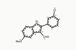 COc1ccc2[nH]c(-c3cccc(Cl)c3)c(C=O)c2c1